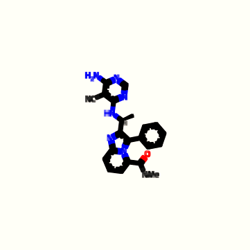 CNC(=O)c1cccc2nc([C@H](C)Nc3ncnc(N)c3C#N)c(-c3ccccc3)n12